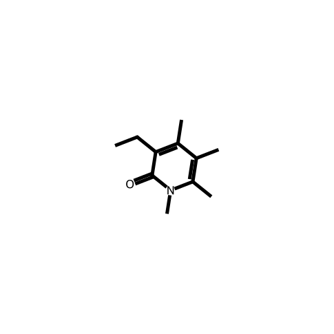 CCc1c(C)c(C)c(C)n(C)c1=O